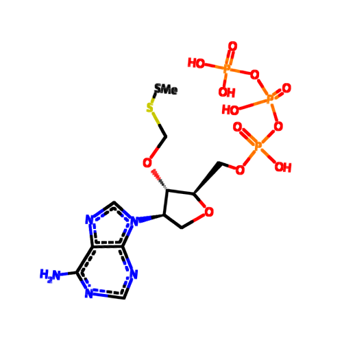 CSSCO[C@H]1[C@H](n2cnc3c(N)ncnc32)CO[C@@H]1COP(=O)(O)OP(=O)(O)OP(=O)(O)O